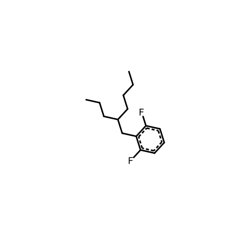 CCCCC(CCC)Cc1c(F)cccc1F